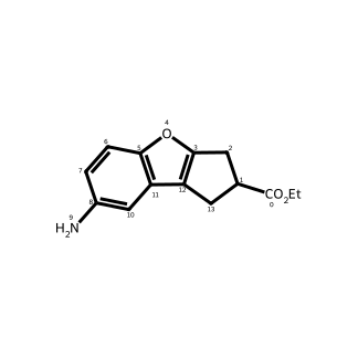 CCOC(=O)C1Cc2oc3ccc(N)cc3c2C1